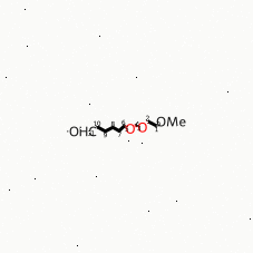 COCCOCOCCCCC[C]=O